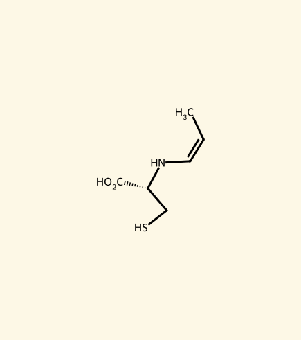 C/C=C\N[C@H](CS)C(=O)O